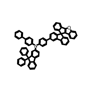 c1ccc(-c2ccc(N(c3ccc(-c4ccc5c(c4)-c4ccccc4C54c5ccccc5-c5oc6ccccc6c54)cc3)c3ccc4c(c3)C(c3ccccc3)(c3ccccc3)c3ccccc3-4)cc2)cc1